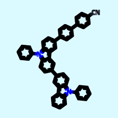 N#Cc1ccc(-c2ccc(-c3ccc4c(c3)c3cc(-c5ccc6c(c5)c5ccccc5n6-c5ccccc5)ccc3n4-c3ccccc3)cc2)cc1